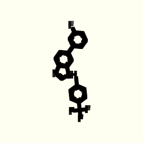 Fc1cccc(-c2ccc3c(c2)[SH](Cc2ccc(C(F)(F)F)cc2)C=N3)c1